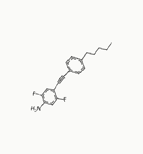 CCCCCc1ccc(C#Cc2cc(F)c(N)cc2F)cc1